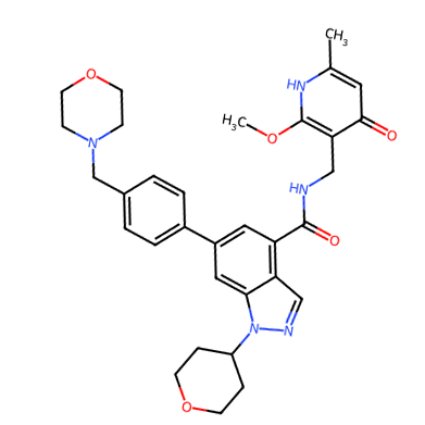 COc1[nH]c(C)cc(=O)c1CNC(=O)c1cc(-c2ccc(CN3CCOCC3)cc2)cc2c1cnn2C1CCOCC1